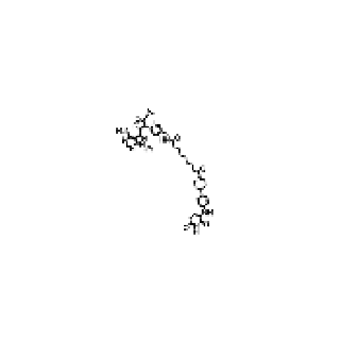 CC(C)n1nc(-c2noc(C3CC3)c2-c2ccc(CNC(=O)CCCCCCCC(=O)N3CCC(c4ccc(NC5CCC(=O)NC5=O)cc4)CC3)cn2)c2c(N)ncnc21